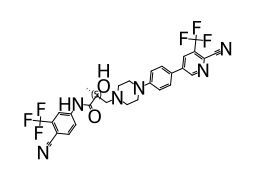 C[C@](O)(CN1CCN(c2ccc(-c3cnc(C#N)c(C(F)(F)F)c3)cc2)CC1)C(=O)Nc1ccc(C#N)c(C(F)(F)F)c1